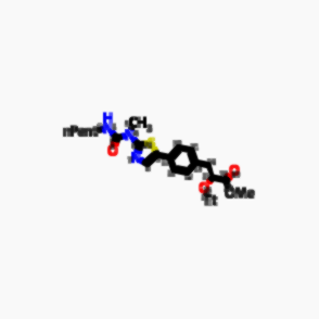 CCCCCNC(=O)N(C)c1ncc(-c2ccc(C[C@H](OCC)C(=O)OC)cc2)s1